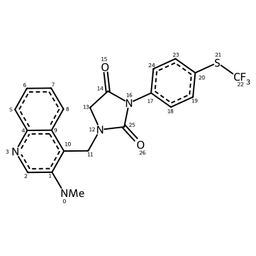 CNc1cnc2ccccc2c1CN1CC(=O)N(c2ccc(SC(F)(F)F)cc2)C1=O